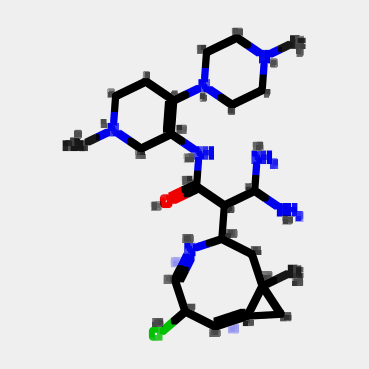 CCCCN1CCC(N2CCN(CC)CC2)=C(NC(=O)C(C(N)N)C2CC3(CC)C/C3=C/C(Cl)/C=N\2)C1